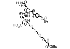 CC(C)COC(=O)NCCOCCOCCOCCOCCC(=O)N[C@H](CCC(=O)O)C(=O)N[C@H](C(=O)N[C@@H](CCCNC(N)=O)C(=O)Nc1ccc(COC(=O)C(C)C)cc1)C(C)C